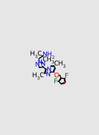 Cc1cc(OCc2c(F)cccc2F)c2nc(C)c(-c3cnn(CC(C)(C)N)n3)n2c1